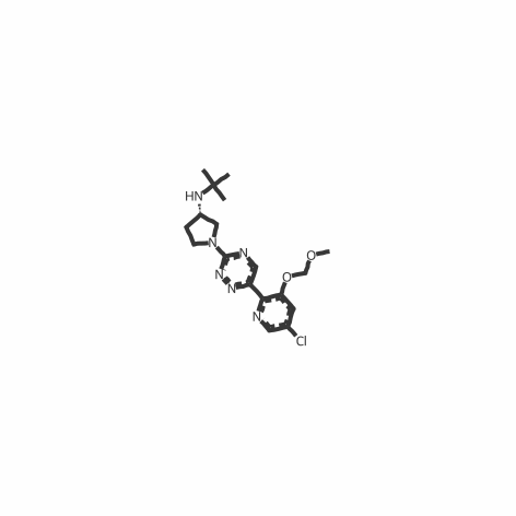 COCOc1cc(Cl)cnc1-c1cnc(N2CC[C@H](NC(C)(C)C)C2)nn1